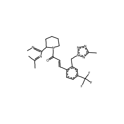 C/N=C(\N=C(C)C)C1CCCCN1C(=O)/C=C/c1ccc(C(F)(F)F)cc1Cn1nnc(C)n1